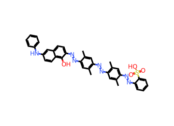 Cc1cc(N=Nc2ccccc2S(=O)(=O)O)c(C)cc1N=Nc1cc(C)c(N=Nc2ccc3cc(Nc4ccccc4)ccc3c2O)cc1C